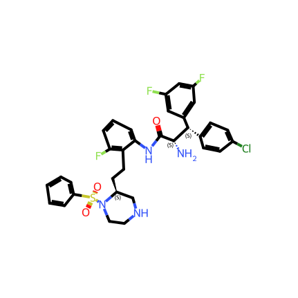 N[C@H](C(=O)Nc1cccc(F)c1CC[C@H]1CNCCN1S(=O)(=O)c1ccccc1)[C@@H](c1ccc(Cl)cc1)c1cc(F)cc(F)c1